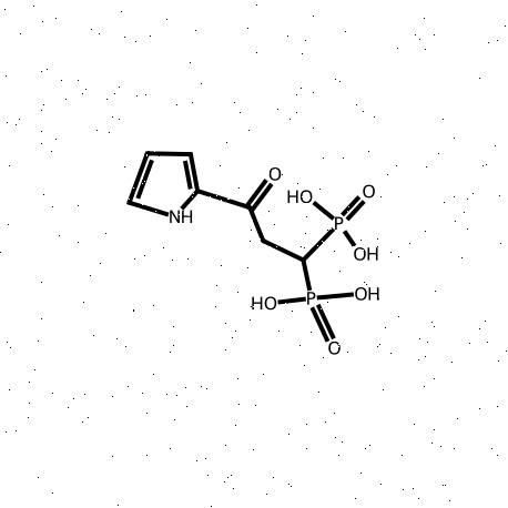 O=C(CC(P(=O)(O)O)P(=O)(O)O)c1ccc[nH]1